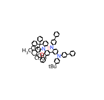 CC(C)(C)c1ccc(N(c2ccc(-c3ccccc3)cc2)c2ccc3c(c2)-c2cc4c(oc5ccccc54)c4c2B(c2cccc5c2N4c2cc4c(cc2C5(c2ccccc2)c2ccccc2)C(C)(C)CCC4(C)C)N3c2ccc(-c3ccccc3)cc2)cc1